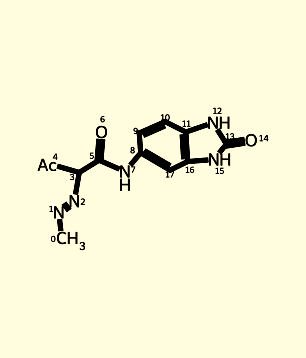 CN=NC(C(C)=O)C(=O)Nc1ccc2[nH]c(=O)[nH]c2c1